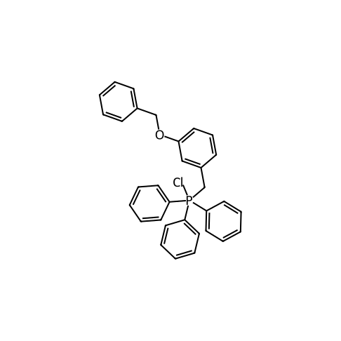 ClP(Cc1cccc(OCc2ccccc2)c1)(c1ccccc1)(c1ccccc1)c1ccccc1